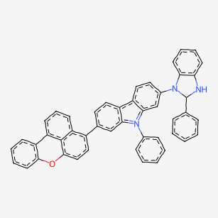 c1ccc(C2Nc3ccccc3N2c2ccc3c4ccc(-c5ccc6c7c(cccc57)-c5ccccc5O6)cc4n(-c4ccccc4)c3c2)cc1